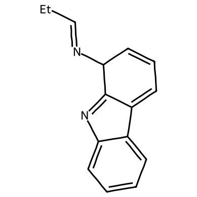 CC/C=N/C1C=CC=C2C1=Nc1ccccc12